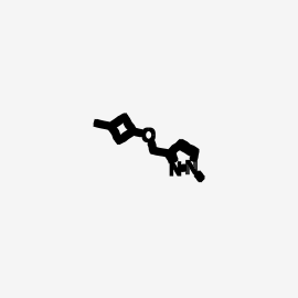 CC1CC(OCc2ccn(C)n2)C1